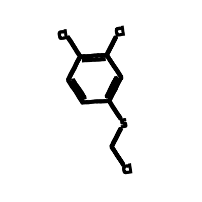 ClCSc1ccc(Cl)c(Cl)c1